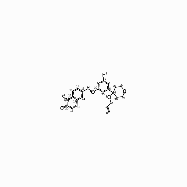 C=CCOC1(c2cc(F)cc(OCc3ccc4c(ccc(=O)n4C)c3)c2)CCOCC1